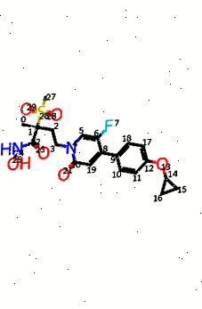 C[C@@](CCn1cc(F)c(-c2ccc(OC3CC3)cc2)cc1=O)(C(=O)NO)S(C)(=O)=O